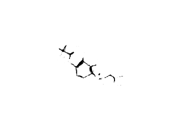 C[C@@H](O)CNS(=O)(=O)c1ccc(NC(=O)[C@@](C)(O)C(F)(F)F)c(Cl)c1Cl